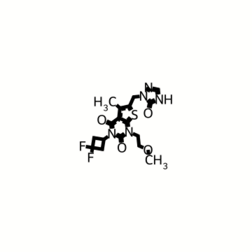 COCCn1c(=O)n(C2CC(F)(F)C2)c(=O)c2c(C)c(Cn3nc[nH]c3=O)sc21